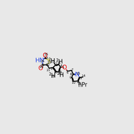 [2H]c1c([2H])c(OCCc2ccc(CCC)c(C)n2)c([2H])c([2H])c1CC1SC(=O)NC1=O